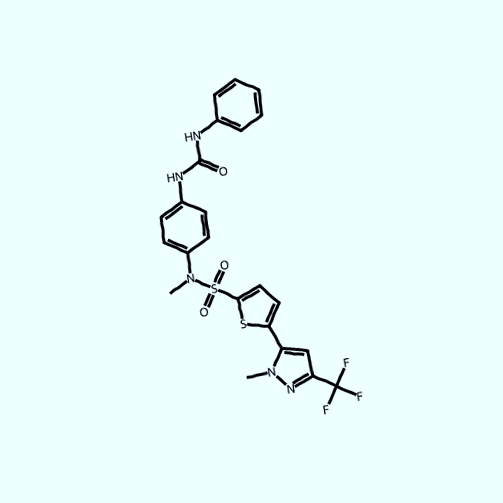 CN(c1ccc(NC(=O)Nc2ccccc2)cc1)S(=O)(=O)c1ccc(-c2cc(C(F)(F)F)nn2C)s1